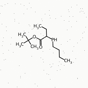 CCCCPC(CC)C(=O)OC(C)(C)C